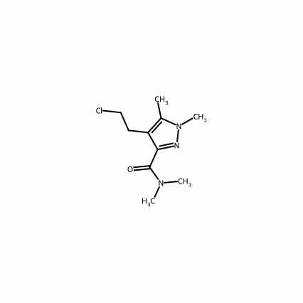 Cc1c(CCCl)c(C(=O)N(C)C)nn1C